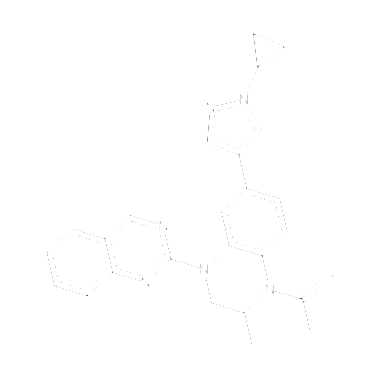 CC(=O)N1c2ccc(-c3cnn(C4CC4)c3)cc2N(c2ncc3ccccc3n2)CC1C